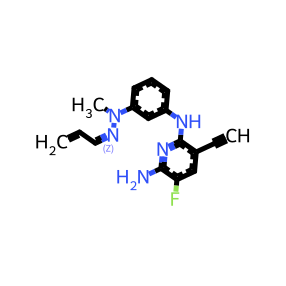 C#Cc1cc(F)c(N)nc1Nc1cccc(N(C)/N=C\C=C)c1